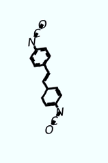 O=C=NC1=CCC(C=Cc2ccc(N=C=O)cc2)C=C1